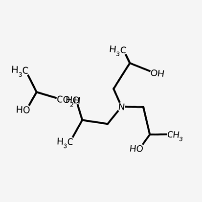 CC(O)C(=O)O.CC(O)CN(CC(C)O)CC(C)O